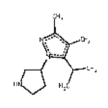 Cc1nn(C2CCNC2)c(C(C)C)c1C